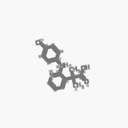 CC(C)(C(=O)O)c1cccnc1Nc1ccc(Cl)cc1